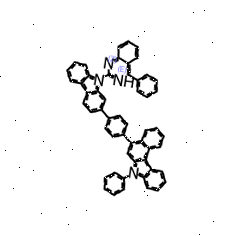 N=C(/N=C1/C=CC=C/C1=C\c1ccccc1)n1c2ccccc2c2ccc(-c3ccc(-c4cc5c(c6ccccc46)c4ccccc4n5-c4ccccc4)cc3)cc21